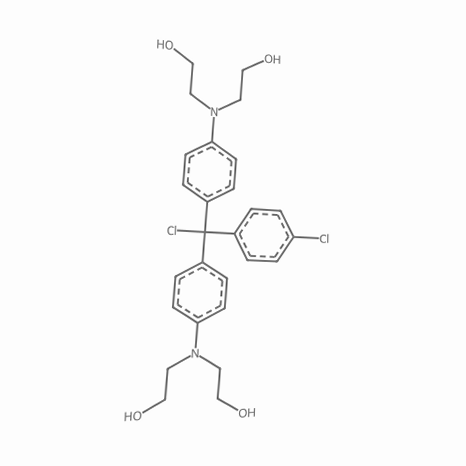 OCCN(CCO)c1ccc(C(Cl)(c2ccc(Cl)cc2)c2ccc(N(CCO)CCO)cc2)cc1